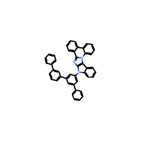 c1ccc(-c2cccc(-c3cc(-c4ccccc4)cc(-n4c5ccccc5c5c4nc4c6ccccc6c6ccccc6n45)c3)c2)cc1